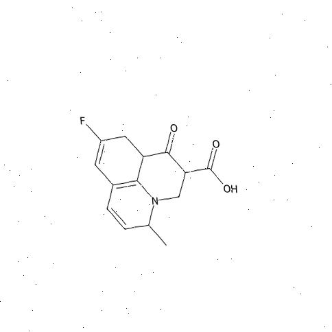 CC1C=CC2=C3C(CC(F)=C2)C(=O)C(C(=O)O)CN31